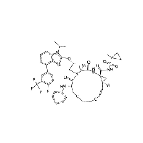 CC(C)n1c(O[C@@H]2C[C@H]3C(=O)N[C@]4(C(=O)NS(=O)(=O)C5(C)CC5)C[C@H]4/C=C\CCCCC[C@H](Nc4ccccc4)C(=O)N3C2)nc2c(-c3ccc(F)c(C(F)(F)F)c3)cccc21